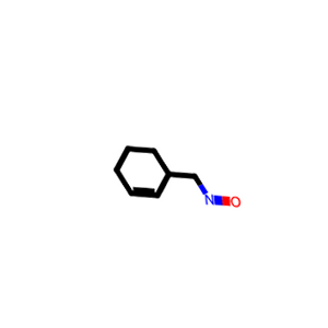 O=NCC1C=CCCC1